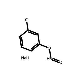 O=[SH]Oc1cccc(Cl)c1.[NaH]